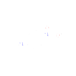 CON(C=O)c1ccc2c(ccn2C)c1